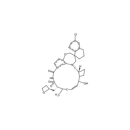 CC1CC=CC(O)C2CC[C@H]2CN2CC3(CCCc4cc(Cl)ccc43)COc3ccc(cc32)C(=O)NS(=O)(=O)[C@H]1C[C@@H]1CCO1